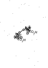 O=C(O)N[C@H](C(=O)N1CC(F)(F)C[C@H]1c1ncc(-c2ccc(C#Cc3ccc(-c4cnc([C@@H]5CC(F)(F)CN5C(=O)[C@@H](NC(=O)O)C5CCOCC5)[nH]4)cc3)cc2)[nH]1)C1CCOCC1